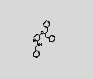 c1ccc(CNc2cc(OC(Cc3ccccc3)Cc3ccccc3)ccn2)cc1